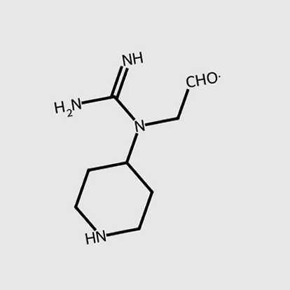 N=C(N)N(C[C]=O)C1CCNCC1